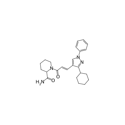 NC(=O)C1CCCCN1C(=O)C=Cc1cn(-c2ccccc2)nc1C1CCCCC1